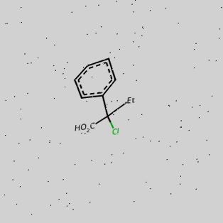 CCC(Cl)(C(=O)O)c1ccccc1